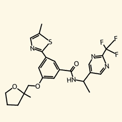 Cc1cnc(-c2cc(OCC3(C)CCCO3)cc(C(=O)NC(C)c3cnc(C(F)(F)F)nc3)c2)s1